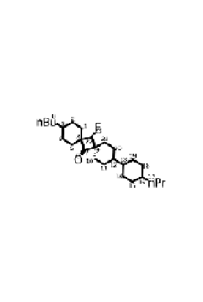 CCCCC1CC[C@]2(CC1)C(=O)[C@@]1(CCC(C3CCC(CCC)CC3)CC1)[C@@H]2F